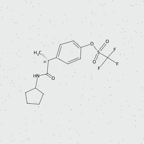 C[C@@H](C(=O)NC1CCCC1)c1ccc(OS(=O)(=O)C(F)(F)F)cc1